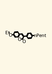 CCCCCc1ccc(-c2cc3ccc(OCC)cc3oc2=O)cc1